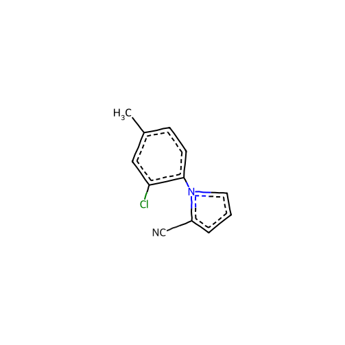 Cc1ccc(-n2cccc2C#N)c(Cl)c1